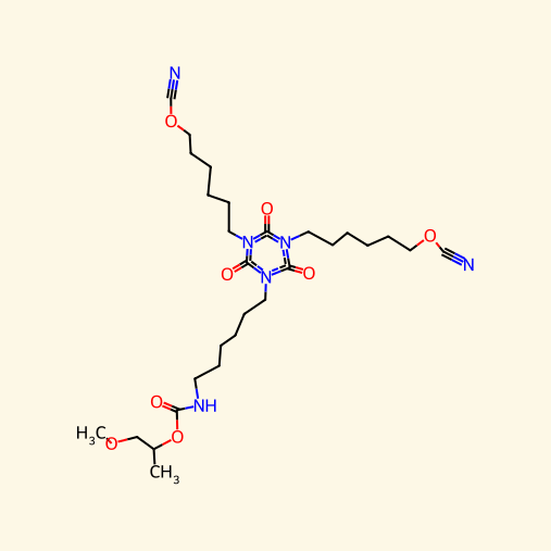 COCC(C)OC(=O)NCCCCCCn1c(=O)n(CCCCCCOC#N)c(=O)n(CCCCCCOC#N)c1=O